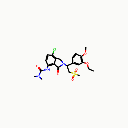 CCOc1cc(C(CS(C)(=O)=O)N2Cc3c(Cl)ccc(NC(=O)N(C)C)c3C2=O)ccc1OC